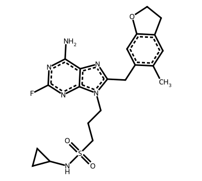 Cc1cc2c(cc1Cc1nc3c(N)nc(F)nc3n1CCCS(=O)(=O)NC1CC1)OCC2